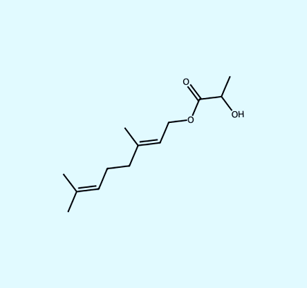 CC(C)=CCC/C(C)=C/COC(=O)C(C)O